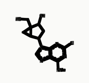 CNc1nc(Cl)nc2c1ncn2C1CC(O)C2(CO)CC12